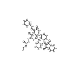 CCOC(=O)CCN1CN(C(c2ccccc2)c2ccccc2CN2C(=O)c3ccccc3C2=O)n2ccc(=O)c(OCc3ccccc3)c2C1=O